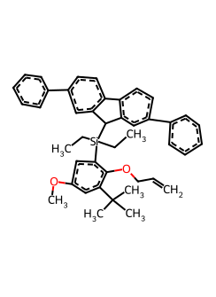 C=CCOc1c(C(C)(C)C)cc(OC)cc1[Si](CC)(CC)C1c2cc(-c3ccccc3)ccc2-c2ccc(-c3ccccc3)cc21